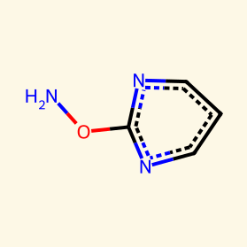 NOc1ncccn1